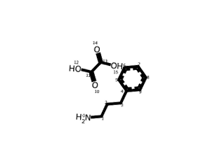 NCCCc1ccccc1.O=C(O)C(=O)O